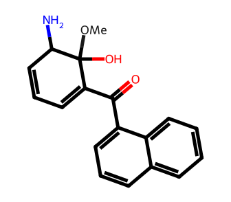 COC1(O)C(C(=O)c2cccc3ccccc23)=CC=CC1N